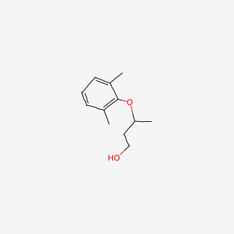 Cc1cccc(C)c1OC(C)CCO